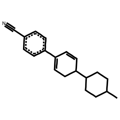 CC1CCC(C2C=CC(c3ccc(C#N)cc3)=CC2)CC1